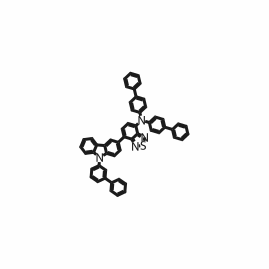 c1ccc(-c2ccc(N(c3ccc(-c4ccccc4)cc3)c3ccc(-c4ccc5c(c4)c4ccccc4n5-c4cccc(-c5ccccc5)c4)c4nsnc34)cc2)cc1